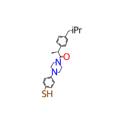 CC(C)Cc1ccc([C@H](C)C(=O)N2CCN(c3ccc(S)cc3)CC2)cc1